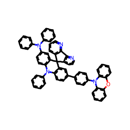 c1ccc(N(c2ccccc2)c2ccc3c(c2)C2(c4cc(-c5ccc(N6c7ccccc7Oc7ccccc76)cc5)ccc4N3c3ccccc3)c3cccnc3-c3ncccc32)cc1